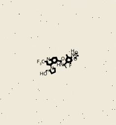 Cc1cc([C@@H](C)NC(=O)c2ccc3nc(C(F)(F)F)cc(N4CCC[C@@H]4CO)c3c2)c(F)cc1NS(C)(=O)=O